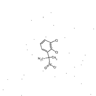 CC(C)(c1cccc(Cl)c1Cl)[N+](=O)[O-]